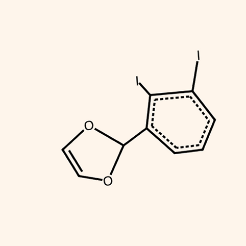 Ic1cccc(C2OC=CO2)c1I